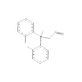 C=CCC1(O)c2ccccc2Sc2ccccc21